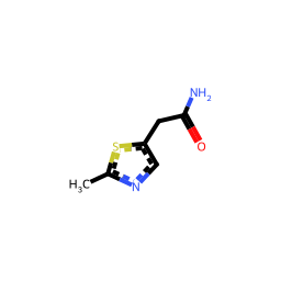 Cc1ncc(CC(N)=O)s1